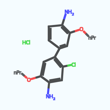 CCCOc1cc(-c2cc(OCCC)c(N)cc2Cl)ccc1N.Cl